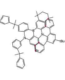 CC(C)c1cc2c3c(c1)N(c1c(-c4ccccc4)cc(C(C)(C)C)cc1-c1ccccc1)c1cc4c(cc1B3c1ccc(C(C)(C)c3ccccc3)cc1N2c1cccc(C(C)(C)c2ccccc2)c1)C(C)(C)CCC4(C)C